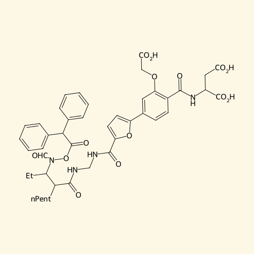 CCCCCC(C(=O)NCNC(=O)c1ccc(-c2ccc(C(=O)NC(CC(=O)O)C(=O)O)c(OCC(=O)O)c2)o1)C(CC)N(C=O)OC(=O)C(c1ccccc1)c1ccccc1